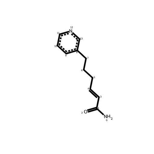 NC(=O)C=CCCCc1cccnc1